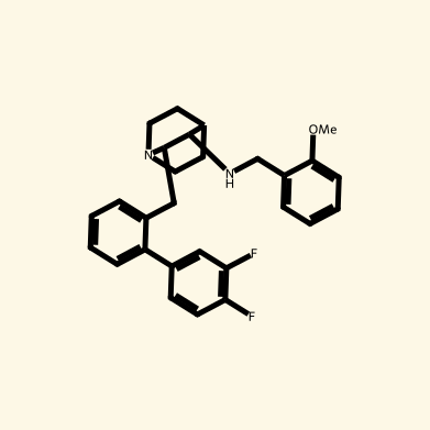 COc1ccccc1CNC1C2CCN(CC2)C1Cc1ccccc1-c1ccc(F)c(F)c1